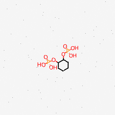 O=P(O)(O)OC1CCCCC1OP(=O)(O)O